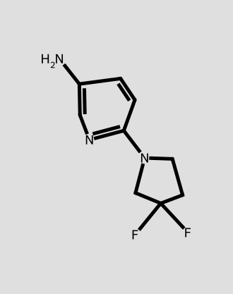 Nc1ccc(N2CCC(F)(F)C2)nc1